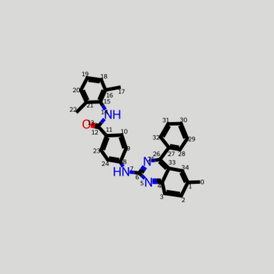 Cc1ccc2nc(Nc3ccc(C(=O)Nc4c(C)cccc4C)cc3)nc(-c3ccccc3)c2c1